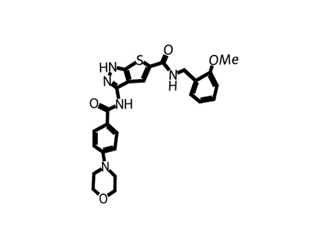 COc1ccccc1CNC(=O)c1cc2c(NC(=O)c3ccc(N4CCOCC4)cc3)n[nH]c2s1